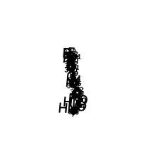 O=C(NC(=O)[C@@H]1CCCN1)c1ccc(-c2cnc(OCC3CCN(CC4(C(F)(F)F)CCC4)CC3)nc2)cc1F